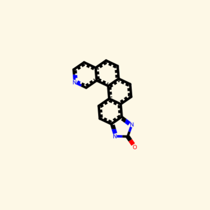 O=C1N=c2ccc3c(ccc4ccc5ccncc5c43)c2=N1